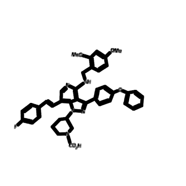 COc1ccc(CNc2ncc(C=Cc3ccc(F)cc3)c3c2c(-c2ccc(Oc4ccccc4)cc2)nn3C2CCCN(C(=O)O)C2)c(OC)c1